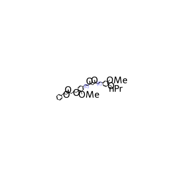 CCCOc1ccc(/C=C/C(=O)CC(=O)/C=C/c2ccc(OCCC(=O)OCc3ccccc3)c(OC)c2)cc1OC